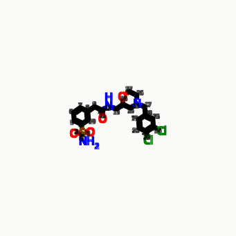 NS(=O)(=O)c1cccc(CC(=O)NCC2CN(Cc3ccc(Cl)c(Cl)c3)CCO2)c1